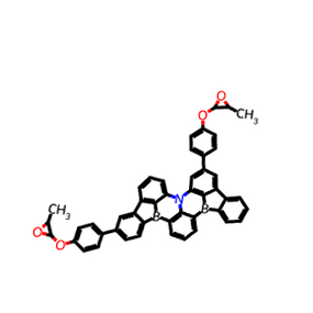 CC1OC1Oc1ccc(-c2ccc3c(c2)-c2cccc4c2B3c2cccc3c2N4c2cc(-c4ccc(OC5OC5C)cc4)cc4c2B3c2ccccc2-4)cc1